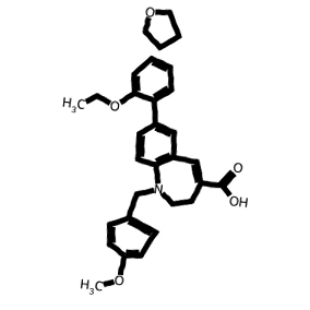 C1CCOC1.CCOc1ccccc1-c1ccc2c(c1)C=C(C(=O)O)CCN2Cc1ccc(OC)cc1